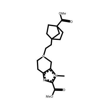 COC(=O)c1nc2c(n1C)CN(CCC13CCC(C(=O)OC)(CC1)C3)CC2